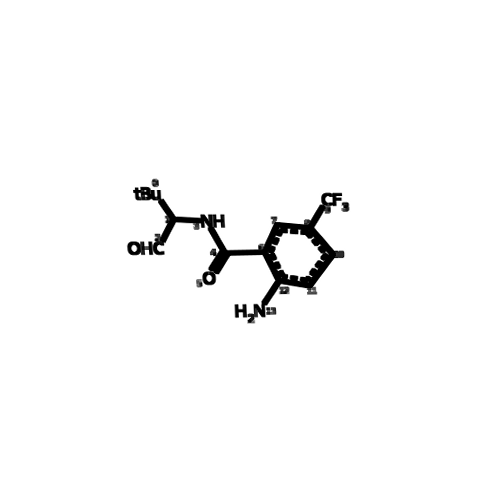 CC(C)(C)C(C=O)NC(=O)c1cc(C(F)(F)F)ccc1N